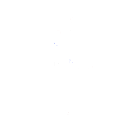 CN(C(=O)c1ccc(Br)cc1)C1CCCC2(OCCO2)C1N1CCCC1